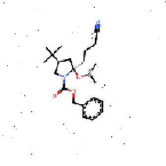 C[SiH](C)O[C@]1(CCCC#N)C[C@H](C(C)(C)C)CN1C(=O)OCc1ccccc1